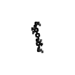 C/C=C/c1ccc(OCC2CCC(c3ccc(OCC)c(F)c3F)CC2)c(F)c1F